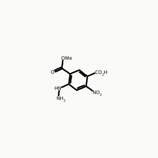 COC(=O)c1cc(C(=O)O)c([N+](=O)[O-])cc1NN